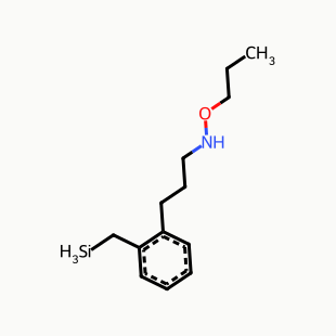 CCCONCCCc1ccccc1C[SiH3]